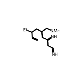 C=CC(CC)CC(CNC)CC(=N)CC=N